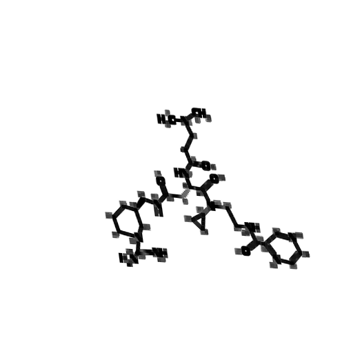 CN(C)CCC(=O)N[C@@H](CC(=O)NC[C@@H]1CCCN(C(=N)N)C1)C(=O)N(CCNC(=O)c1cnccn1)C1CC1